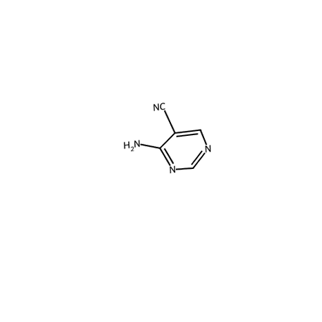 N#Cc1cncnc1N